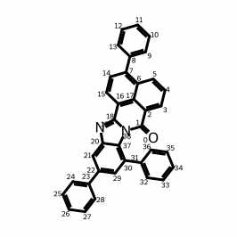 O=c1c2cccc3c(-c4ccccc4)ccc(c32)c2nc3cc(-c4ccccc4)cc(-c4ccccc4)c3n12